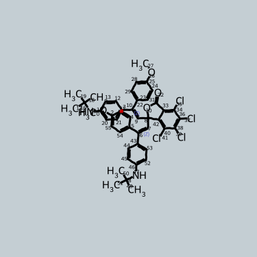 COc1ccc(/C(=C\C2(/C=C(/c3ccc(NC(C)(C)C)cc3)c3ccc(OC)cc3)OC(=O)c3c(Cl)c(Cl)c(Cl)c(Cl)c32)c2ccc(NC(C)(C)C)cc2)cc1